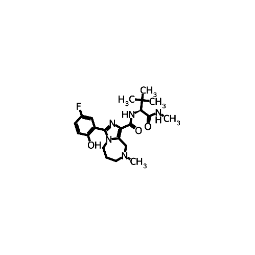 CNC(=O)[C@@H](NC(=O)c1nc(-c2cc(F)ccc2O)n2c1CN(C)CCC2)C(C)(C)C